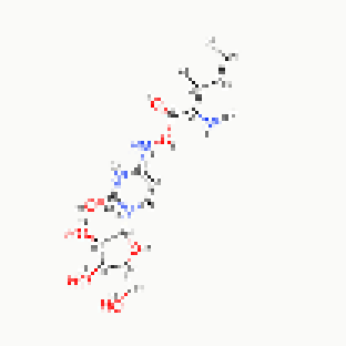 C=N/C(C(=O)ONc1ccn([C@@H]2O[C@H](CO)[C@@H](O)[C@H]2O)c(=O)n1)=C(C)\C=C/C